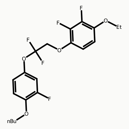 CCCCOc1ccc(OC(F)(F)COc2ccc(OCC)c(F)c2F)cc1F